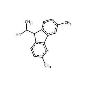 Cc1ccc2c(c1)-c1cc(C)ccc1C2C(C)O